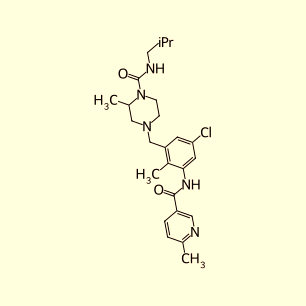 Cc1ccc(C(=O)Nc2cc(Cl)cc(CN3CCN(C(=O)NCC(C)C)C(C)C3)c2C)cn1